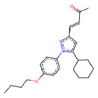 CCCCOc1ccc(-n2nc(/C=C/C(C)=O)cc2C2CCCCC2)cc1